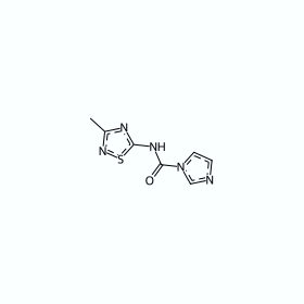 Cc1nsc(NC(=O)n2ccnc2)n1